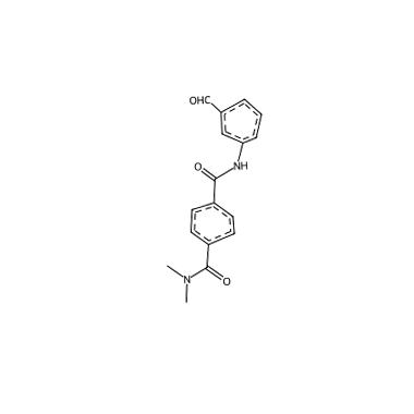 CN(C)C(=O)c1ccc(C(=O)Nc2cccc(C=O)c2)cc1